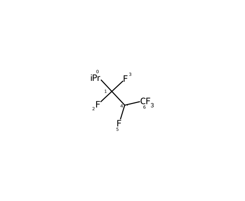 [CH2]C(C)C(F)(F)[C](F)C(F)(F)F